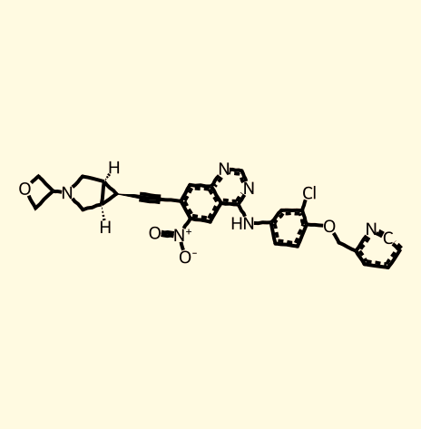 O=[N+]([O-])c1cc2c(Nc3ccc(OCc4ccccn4)c(Cl)c3)ncnc2cc1C#C[C@H]1[C@H]2CN(C3COC3)C[C@@H]12